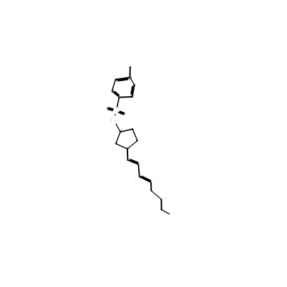 Cc1ccc(S(=O)(=O)NC2CCC(/C=C/C=C/CCCC(=O)O)C2)cc1